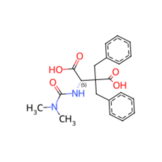 CN(C)C(=O)N[C@H](C(=O)O)C(Cc1ccccc1)(Cc1ccccc1)C(=O)O